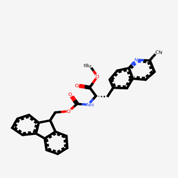 CC(C)(C)OC(=O)[C@H](Cc1ccc2nc(C#N)ccc2c1)NC(=O)OCC1c2ccccc2-c2ccccc21